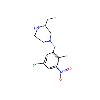 CCC1CN(Cc2cc(Cl)cc([N+](=O)[O-])c2C)CCN1